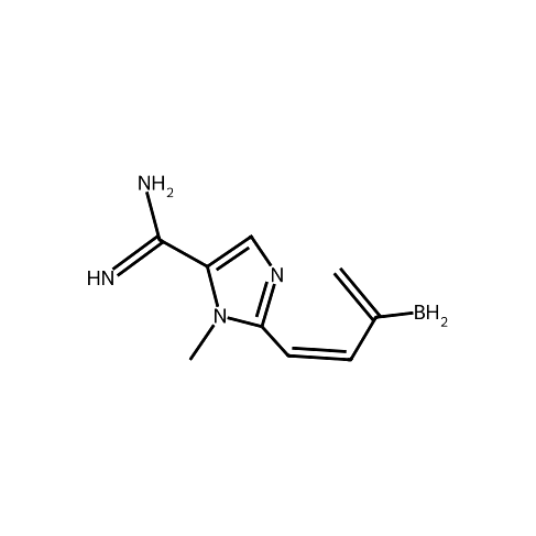 BC(=C)/C=C\c1ncc(C(=N)N)n1C